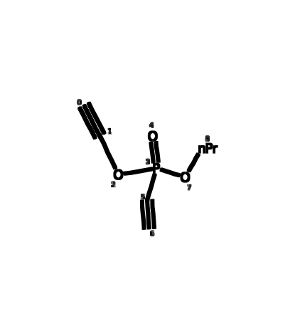 C#COP(=O)(C#C)OCCC